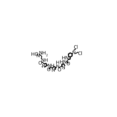 Cn1cc(NC(=O)c2cc(NC(=O)c3cc(NC(=O)c4cc5cc(N(CCCl)CCCl)ccc5[nH]4)cn3C)cn2C)cc1C(=O)NCCC(N)=NO